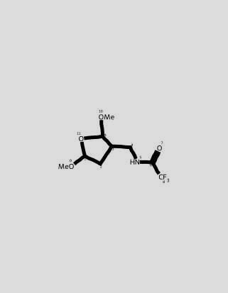 COC1CC(CNC(=O)C(F)(F)F)C(OC)O1